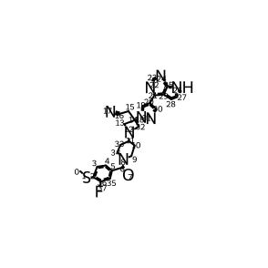 CSc1ccc(C(=O)N2CCC(N3CC(CC#N)(n4cc(-c5ncnc6[nH]ccc56)cn4)C3)CC2)cc1F